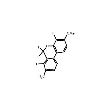 COc1ccc2c(c1F)OC(F)(F)c1c-2ccc(C)c1F